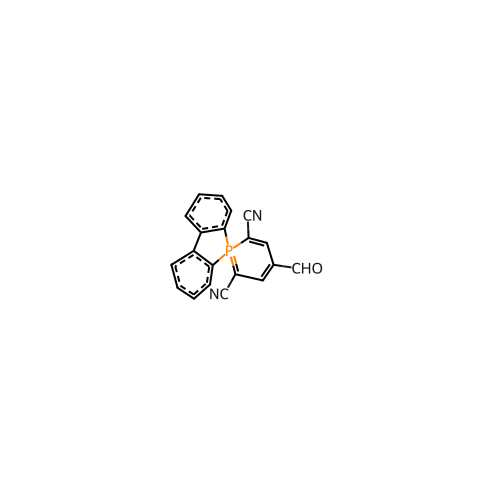 N#CC1=CC(C=O)=CC(C#N)=P12c1ccccc1-c1ccccc12